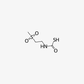 CS(=O)(=O)CCNC(=O)S